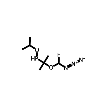 CC(C)OPC(C)(C)OC(F)N=[N+]=[N-]